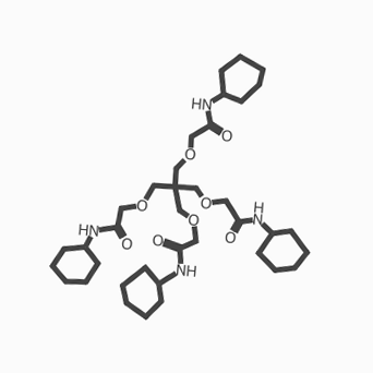 O=C(COCC(COCC(=O)NC1CCCCC1)(COCC(=O)NC1CCCCC1)COCC(=O)NC1CCCCC1)NC1CCCCC1